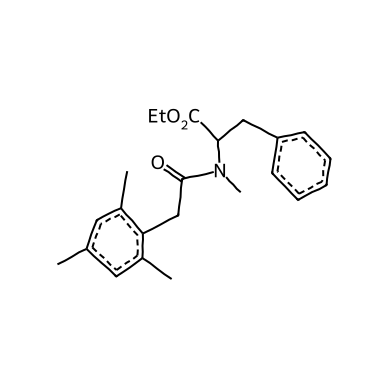 CCOC(=O)C(Cc1ccccc1)N(C)C(=O)Cc1c(C)cc(C)cc1C